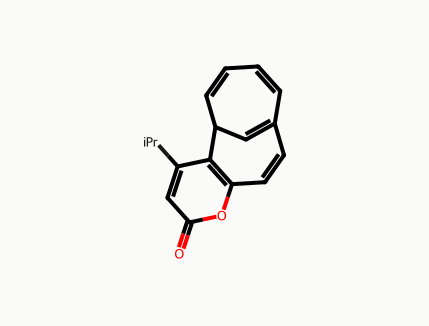 CC(C)c1cc(=O)oc2c1C1C=CC=CC(=C1)C=C2